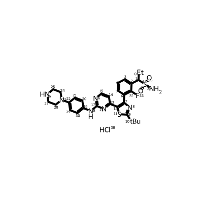 CCC(c1cccc(-c2nc(C(C)(C)C)sc2-c2ccnc(Nc3ccc(N4CCNCC4)cc3)n2)c1F)S(N)(=O)=O.Cl